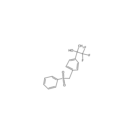 CC(O)(c1ccc(CS(=O)(=O)c2ccccc2)cc1)C(F)(F)F